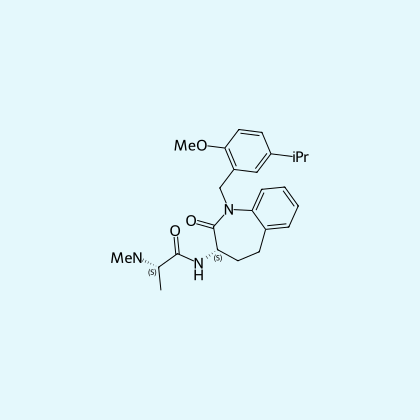 CN[C@@H](C)C(=O)N[C@H]1CCc2ccccc2N(Cc2cc(C(C)C)ccc2OC)C1=O